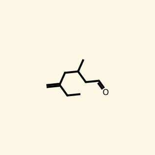 C=C(CC)CC(C)CC=O